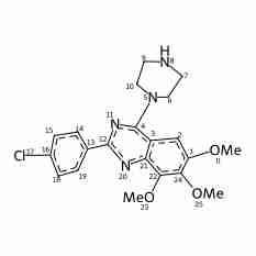 COc1cc2c(N3CCNCC3)nc(-c3ccc(Cl)cc3)nc2c(OC)c1OC